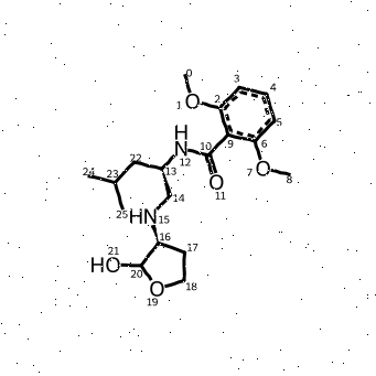 COc1cccc(OC)c1C(=O)N[C@@H](CN[C@H]1CCOC1O)CC(C)C